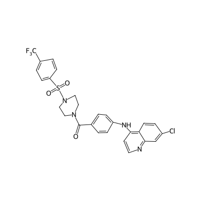 O=C(c1ccc(Nc2ccnc3cc(Cl)ccc23)cc1)N1CCN(S(=O)(=O)c2ccc(C(F)(F)F)cc2)CC1